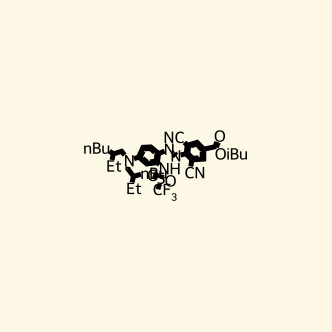 CCCCC(CC)CN(CC(CC)CCCC)c1ccc(N=Nc2c(C#N)cc(C(=O)OCC(C)C)cc2C#N)c(NS(=O)(=O)C(F)(F)F)c1